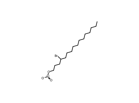 CCCCCCCCCCCCC(Br)CCCO[N+](=O)[O-]